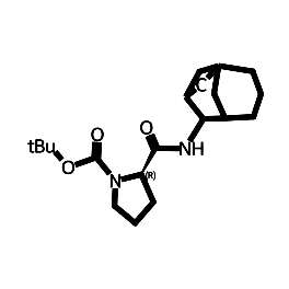 CC(C)(C)OC(=O)N1CCC[C@@H]1C(=O)NC1C2CCCC3(C2)CC1C3